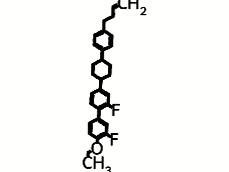 C=CCCc1ccc(C2CCC(c3ccc(-c4ccc(OCC)c(F)c4)c(F)c3)CC2)cc1